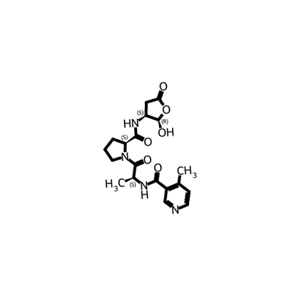 Cc1ccncc1C(=O)N[C@@H](C)C(=O)N1CCC[C@H]1C(=O)N[C@H]1CC(=O)O[C@H]1O